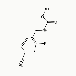 C#Cc1ccc(CNC(=O)OC(C)(C)C)c(F)c1